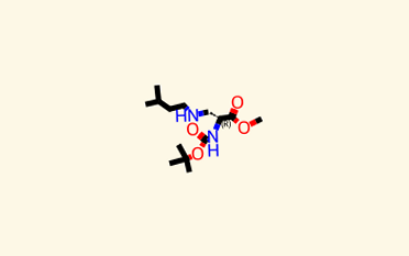 COC(=O)[C@@H](CNCCC(C)C)NC(=O)OC(C)(C)C